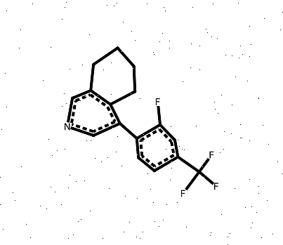 Fc1cc(C(F)(F)F)ccc1-c1cncc2c1CCCC2